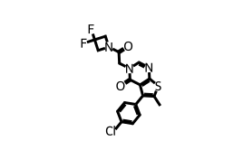 Cc1sc2ncn(CC(=O)N3CC(F)(F)C3)c(=O)c2c1-c1ccc(Cl)cc1